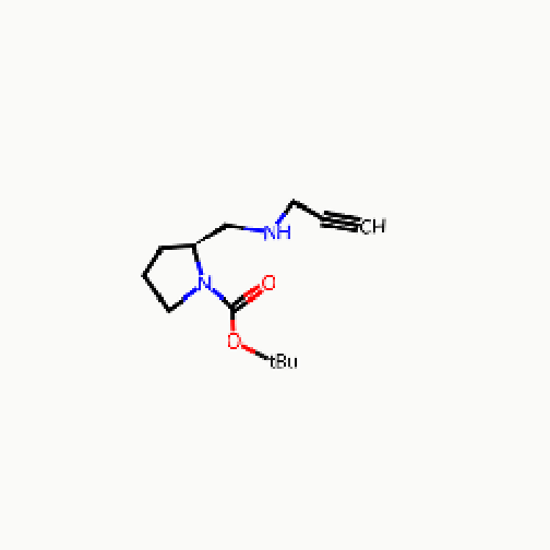 C#CCNC[C@@H]1CCCN1C(=O)OC(C)(C)C